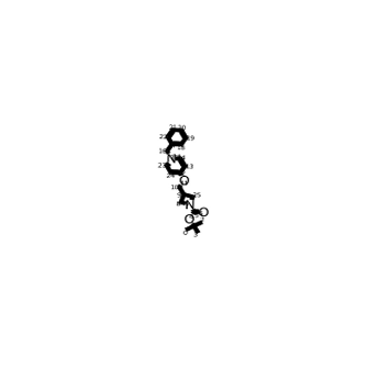 CC(C)(C)OC(=O)N1CC(COc2cc[n+](Cc3ccccc3)cc2)C1